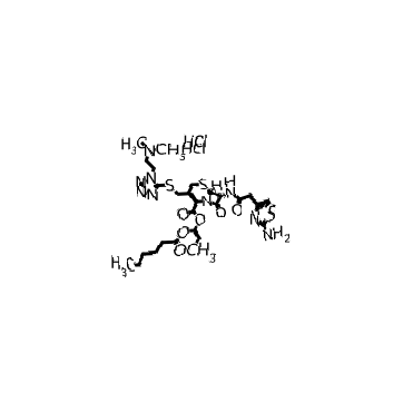 CCCCCC(=O)OC(CC)OC(=O)C1=C(CSc2nnnn2CCN(C)C)CS[C@H]2[C@H](NC(=O)Cc3csc(N)n3)C(=O)N12.Cl.Cl